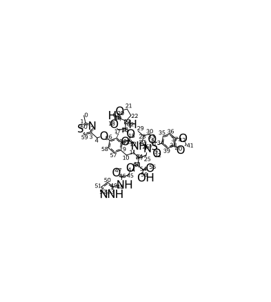 Cc1nc(COc2ccc(CC(NC(=O)O[C@H]3CO[C@H]4OCC[C@H]43)[C@@H](CN(CC(C)C)S(=O)(=O)c3ccc4c(c3)OCO4)[C@H](OCC(=O)Nc3ccn[nH]3)C(=O)O)cc2)cs1